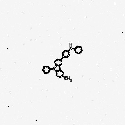 Cc1ccc2c(c1)c1cc(-c3ccc(Nc4ccccc4)cc3)ccc1n2-c1ccccc1